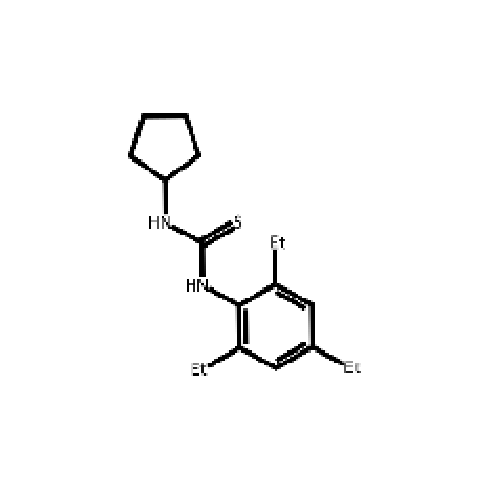 CCc1cc(CC)c(NC(=S)NC2CCCC2)c(CC)c1